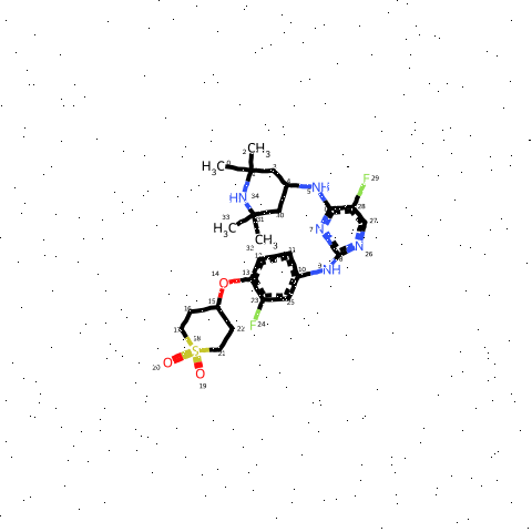 CC1(C)CC(Nc2nc(Nc3ccc(OC4CCS(=O)(=O)CC4)c(F)c3)ncc2F)CC(C)(C)N1